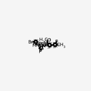 CC(=O)c1nn(CC(=O)N2C[C@H](F)C[C@H]2C(=O)Nc2cccc(Br)n2)c2ccc(-c3ccc(C)c(F)c3)cc12